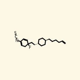 C=CCCCC[C@H]1CC[C@H](CCC2(F)C=CC(N=C=S)=CC2)CC1